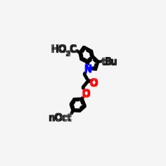 CCCCCCCCc1ccc(OCC(=O)Cn2cc(C(C)(C)C)c3ccc(C(=O)O)cc32)cc1